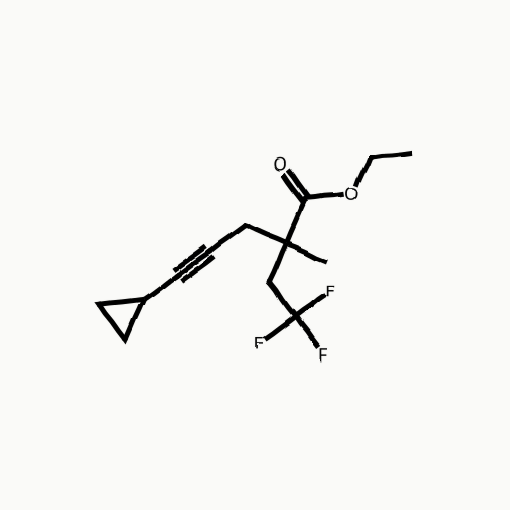 CCOC(=O)C(C)(CC#CC1CC1)CC(F)(F)F